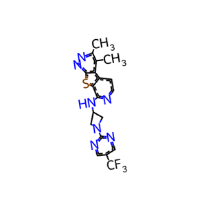 Cc1nnc2sc3c(NC4CN(c5ncc(C(F)(F)F)cn5)C4)nccc3c2c1C